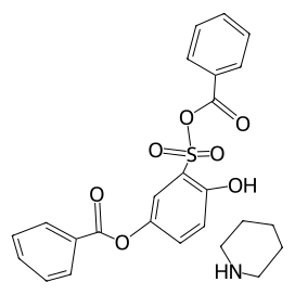 C1CCNCC1.O=C(Oc1ccc(O)c(S(=O)(=O)OC(=O)c2ccccc2)c1)c1ccccc1